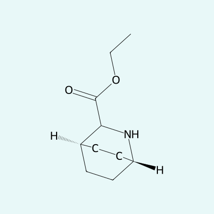 CCOC(=O)C1N[C@H]2CC[C@H]1CC2